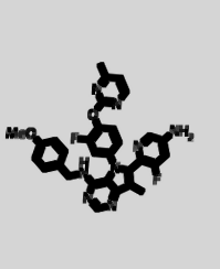 COc1ccc(CNc2ncnc3c(C)c(-c4ncc(N)cc4F)n(-c4ccc(Oc5nccc(C)n5)c(F)c4)c23)cc1